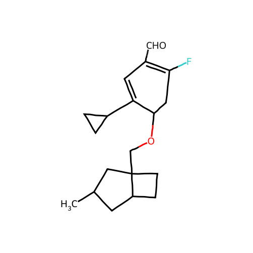 CC1CC2CCC2(COC2CC(F)=C(C=O)C=C2C2CC2)C1